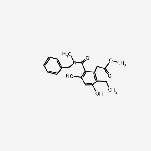 CCc1c(O)cc(O)c(C(=O)N(C)Cc2ccccc2)c1CC(=O)OC